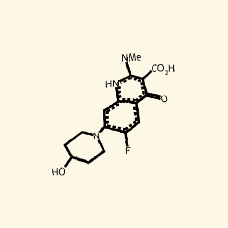 CNc1[nH]c2cc(N3CCC(O)CC3)c(F)cc2c(=O)c1C(=O)O